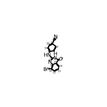 N#Cc1ccc(Nc2nc3c(Br)cccc3c(=O)[nH]2)cc1